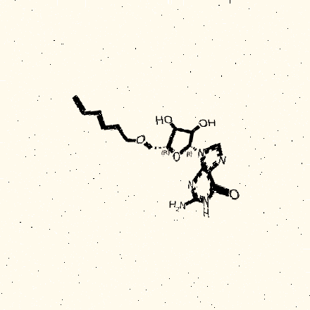 C=CC=CCCOC[C@H]1O[C@@H](n2cnc3c(=O)[nH]c(N)nc32)C(O)C1O